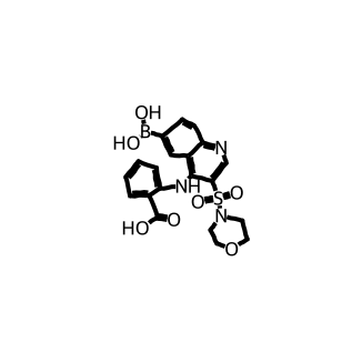 O=C(O)c1ccccc1Nc1c(S(=O)(=O)N2CCOCC2)cnc2ccc(B(O)O)cc12